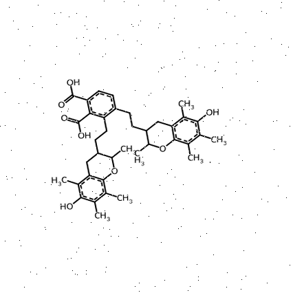 Cc1c(C)c2c(c(C)c1O)CC(CCc1ccc(C(=O)O)c(C(=O)O)c1CCC1Cc3c(C)c(O)c(C)c(C)c3OC1C)C(C)O2